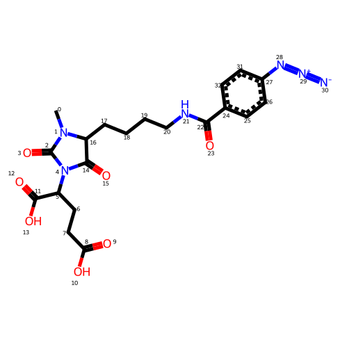 CN1C(=O)N(C(CCC(=O)O)C(=O)O)C(=O)C1CCCCNC(=O)c1ccc(N=[N+]=[N-])cc1